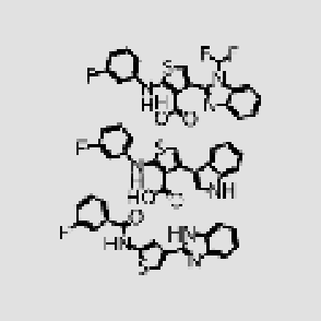 O=C(Nc1cc(-c2nc3ccccc3[nH]2)cs1)c1cccc(F)c1.O=C(O)c1c(-c2c[nH]c3ccccc23)csc1Nc1cccc(F)c1.O=C(O)c1c(-c2nc3ccccc3n2C(F)F)csc1Nc1cccc(F)c1